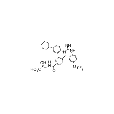 N=C(Nc1ccc(OC(F)(F)F)cc1)N(Cc1ccc(C(=O)NC[C@@H](O)C(=O)O)cc1)c1ccc(C2=CCCCC2)cc1